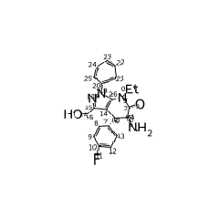 CCN1C(=O)[C@@H](N)[C@H](c2ccc(F)cc2)c2c(CO)nn(-c3ccccc3)c21